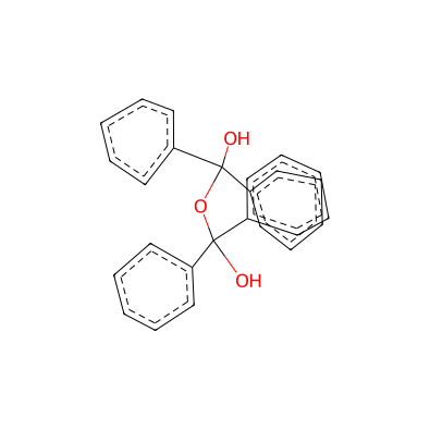 OC(OC(O)(c1ccccc1)c1ccccc1)(c1ccccc1)c1ccccc1